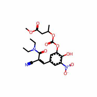 CCN(CC)C(=O)C(C#N)=Cc1cc(OC(=O)OC(C)CC(=O)OC)c(O)c([N+](=O)[O-])c1